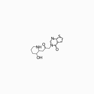 O=C(CC1NCCCC1O)Cn1cnc2sccc2c1=O